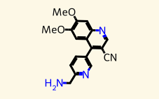 COc1cc2ncc(C#N)c(-c3ccc(CN)nc3)c2cc1OC